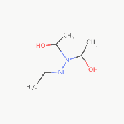 CCNN(C(C)O)C(C)O